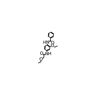 CCOCC(=O)Nc1ccc(NC(=O)c2ccccc2)c(OCC)c1